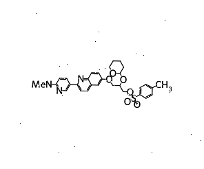 CNc1ccc(-c2ccc3cc(OCC(COS(=O)(=O)c4ccc(C)cc4)OC4CCCCO4)ccc3n2)cn1